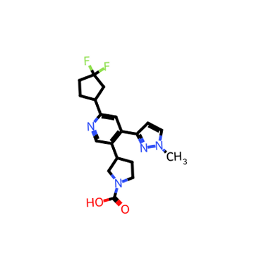 Cn1ccc(-c2cc(C3CCC(F)(F)C3)ncc2C2CCN(C(=O)O)C2)n1